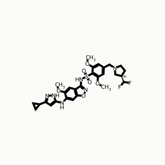 COc1cc2c(NS(=O)(=O)c3c(OC)cc(CN4CC[C@@H](C(F)F)C4)cc3OC)noc2cc1Nc1cc(C2CC2)n[nH]1